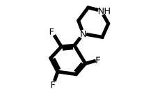 Fc1cc(F)c(N2CCNCC2)c(F)c1